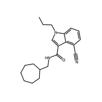 CCCn1cc(C(=O)NCC2CCCCCC2)c2c(C#N)cccc21